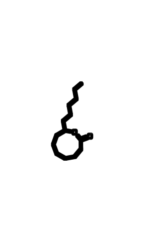 CCCCCCC1CCCCCCC(=O)O1